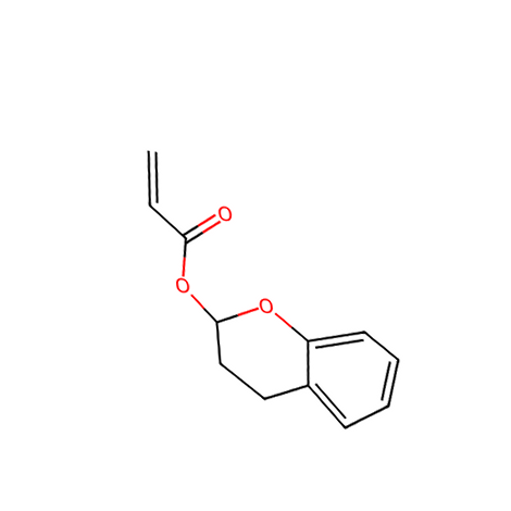 C=CC(=O)OC1CCc2ccccc2O1